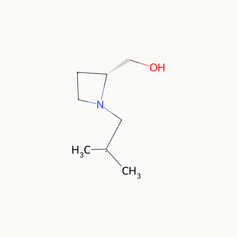 C[C](C)CN1CC[C@@H]1CO